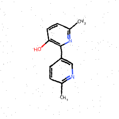 Cc1ccc(-c2nc(C)ccc2O)cn1